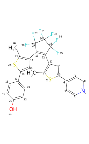 Cc1sc(-c2ccncc2)cc1C1=C(c2cc(-c3ccc(O)cc3)sc2C)C(F)(F)C(F)(F)C1(F)F